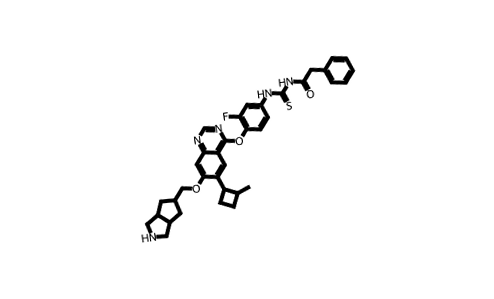 CC1CCC1c1cc2c(Oc3ccc(NC(=S)NC(=O)Cc4ccccc4)cc3F)ncnc2cc1OCC1CC2CNCC2C1